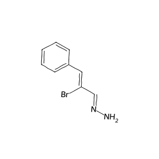 NN=CC(Br)=Cc1ccccc1